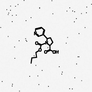 CCCCOC(=O)N1C(C(=O)O)CCC1c1cccnc1